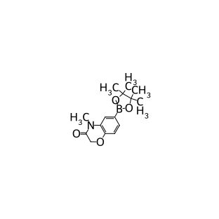 CN1C(=O)COc2ccc(B3OC(C)(C)C(C)(C)O3)cc21